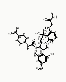 CNC(=O)CNc1ccnc(N2C[C@@H](c3c(F)cc(OC)cc3F)C(NC(=O)N[C@H]3CC[C@H](C(F)F)CC3)C2=O)c1C(F)(F)F